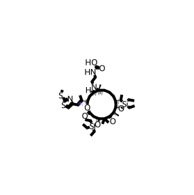 CC[Si](CC)(CC)O[C@H]1[C@@H](C)CCC[C@]2(C)[C@H](C[C@@H](/C(C)=C/c3csc(SC)n3)OC(=O)C[C@H](O[Si](CC)(CC)CC)C(C)(C)C(=O)[C@@H]1C)N2CCNC(=O)O